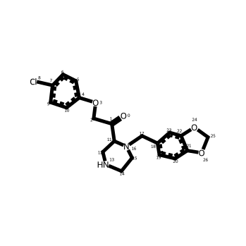 O=C(COc1ccc(Cl)cc1)C1CNCCN1Cc1ccc2c(c1)OCO2